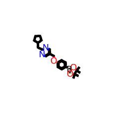 CC1(C)OB(c2ccc(OCc3cnc(CC4CCCC4)nc3)cc2)OC1(C)C